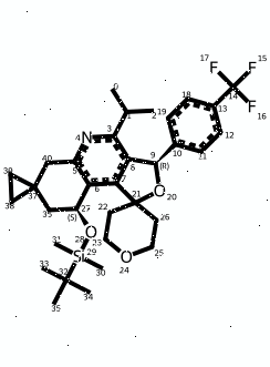 CC(C)c1nc2c(c3c1[C@@H](c1ccc(C(F)(F)F)cc1)OC31CCOCC1)[C@@H](O[Si](C)(C)C(C)(C)C)CC1(CC1)C2